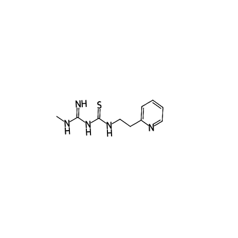 CNC(=N)NC(=S)NCCc1ccccn1